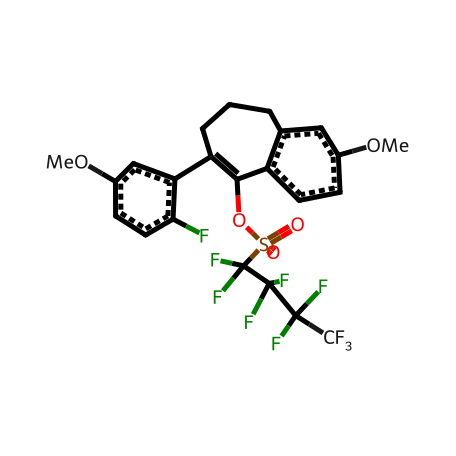 COc1ccc2c(c1)CCCC(c1cc(OC)ccc1F)=C2OS(=O)(=O)C(F)(F)C(F)(F)C(F)(F)C(F)(F)F